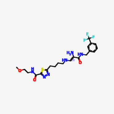 COCCNC(=O)c1nnc(CCCCN/C=C(\N)C(=O)NCc2cccc(C(F)(F)F)c2)s1